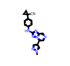 Cn1cc(-c2cncc3nc(Nc4ccc(C5(C#N)CC5)cc4)nn23)cn1